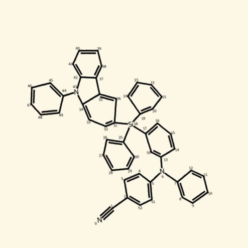 N#Cc1ccc(N(c2ccccc2)c2cccc([Si](c3ccccc3)(c3ccccc3)c3ccc4c(c3)c3ccccc3n4-c3ccccc3)c2)cc1